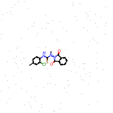 Cc1ccc(NC(=S)N(C)N2C(=O)c3ccccc3C2=O)c(Cl)c1